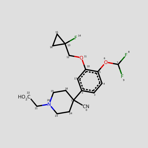 N#CC1(c2ccc(OC(F)F)c(OCC3(F)CC3)c2)CCN(CC(=O)O)CC1